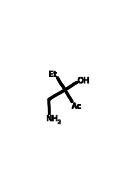 CCC(O)(CN)C(C)=O